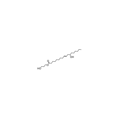 CCCCCCC(O)C/C=C/CCCCCCCC(=O)OCCCO